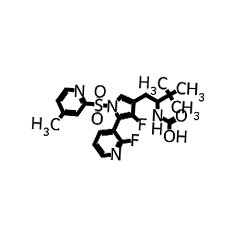 Cc1ccnc(S(=O)(=O)n2cc(CC(NC(=O)O)C(C)(C)C)c(F)c2-c2cccnc2F)c1